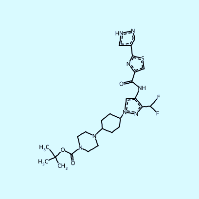 CC(C)(C)OC(=O)N1CCN(C2CCC(n3cc(NC(=O)c4csc(-c5cn[nH]c5)n4)c(C(F)F)n3)CC2)CC1